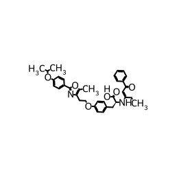 CC/C(=C\C(=O)c1ccccc1)N[C@@H](Cc1ccc(OCCc2nc(-c3ccc(OC(C)C)cc3)oc2C)cc1)C(=O)O